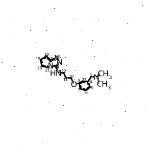 CN(C)Cc1cccc(OCCCNc2nnc3ccccn23)c1